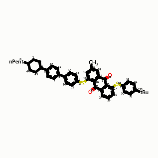 CCCCCC1CCC(c2ccc(-c3ccc(Sc4cc(C)cc5c4C(=O)c4cccc(Sc6ccc(C(C)(C)C)cc6)c4C5=O)cc3)cc2)CC1